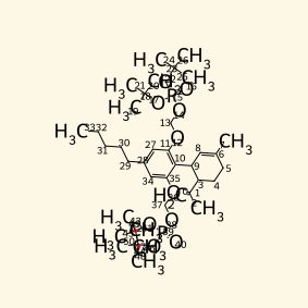 C=C(C)C1CCC(C)=CC1c1c(OCOP(=O)(OC(C)(C)C)OC(C)(C)C)cc(CCCCC)cc1OCOP(=O)(OC(C)(C)C)OC(C)(C)C